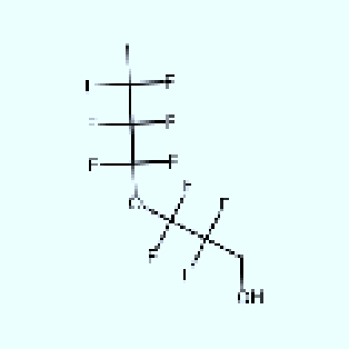 CC(F)(F)C(F)(F)C(F)(F)OC(F)(F)C(F)(F)CO